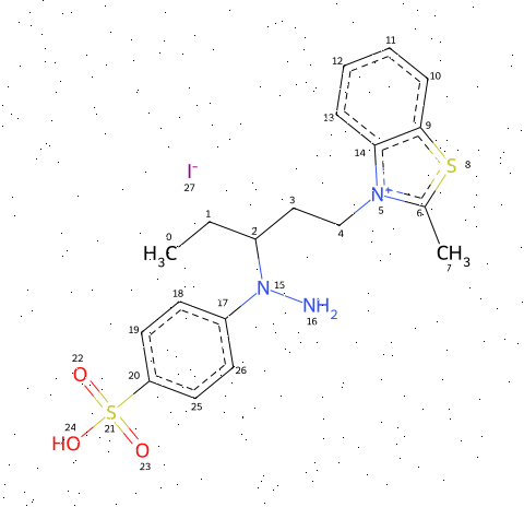 CCC(CC[n+]1c(C)sc2ccccc21)N(N)c1ccc(S(=O)(=O)O)cc1.[I-]